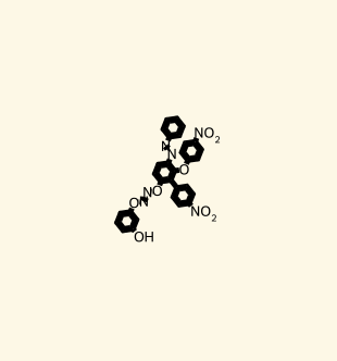 O=[N+]([O-])c1ccc(Oc2c(N=Nc3ccccc3)ccc(ON=NOc3cccc(O)c3)c2-c2ccc([N+](=O)[O-])cc2)cc1